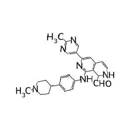 Cc1ncc(-c2cc3c(c(Nc4ccc(C5CCN(C)CC5)cc4)n2)C(C=O)NC=C3)cn1